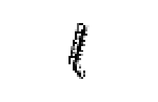 FC(F)C(F)(F)C(F)(F)C(F)(F)C(F)(F)C(F)(F)C(F)(F)C(F)(F)C(F)(F)C(F)(F)COCC1CO1